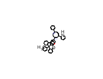 CC1CC=CC(C2=CCCC(/C3=C/C(C4=CC=CCN4)=C=C/C(c4ccccc4)=C\C3)=C2)=C1C1(c2ccccc2)c2ccccc2Oc2ccccc21